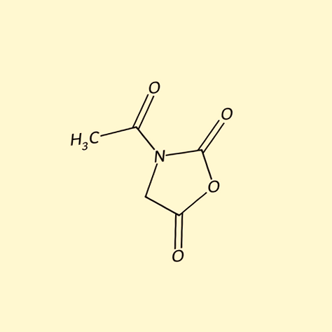 CC(=O)N1CC(=O)OC1=O